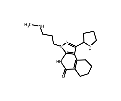 CNCCCn1nc(C2CCCN2)c2c3c(c(=O)[nH]c21)CCCC3